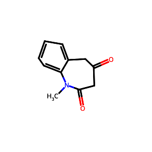 CN1C(=O)CC(=O)Cc2ccccc21